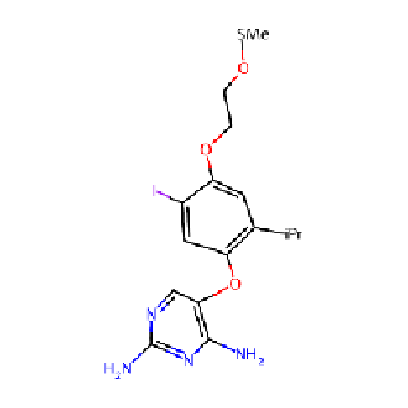 CSOCCOc1cc(C(C)C)c(Oc2cnc(N)nc2N)cc1I